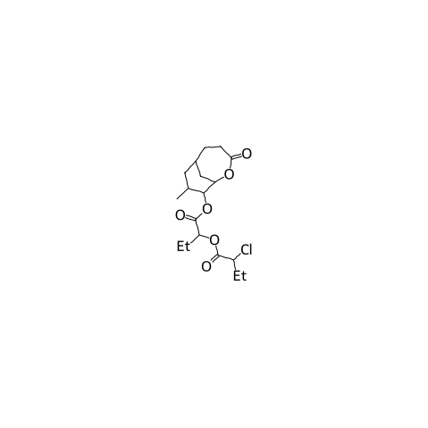 CCC(Cl)C(=O)OC(CC)C(=O)OC1C(C)CC2CCC(=O)OC1C2